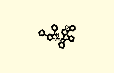 c1ccc(-c2ccc3nc(-n4c5ccccc5c5c6ccccc6c6c(ccc7oc8ccccc8c76)c54)nc(-c4ccccc4)c3c2)cc1